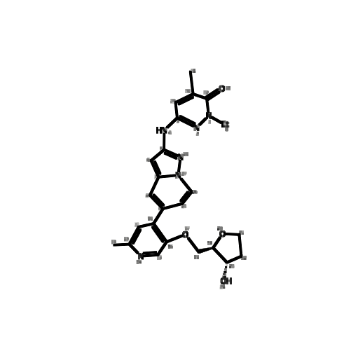 CCn1nc(Nc2cc3cc(-c4cc(C)ncc4OC[C@H]4OCC[C@@H]4O)ccn3n2)cc(C)c1=O